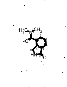 CN(C)C(=O)c1cccc2c1CNC2=O